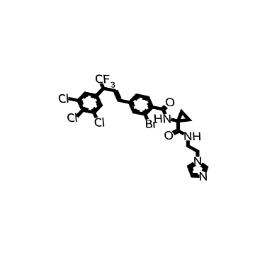 O=C(NC1(C(=O)NCCn2ccnc2)CC1)c1ccc(/C=C/C(c2cc(Cl)c(Cl)c(Cl)c2)C(F)(F)F)cc1Br